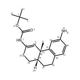 CC(C)(C)OC(=O)NC1=N[C@]2(C)c3cc(N)ccc3CC[C@@H]2CS1